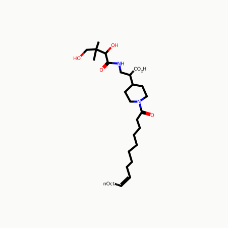 CCCCCCCC/C=C\CCCCCCCC(=O)N1CCC(C(CNC(=O)C(O)C(C)(C)CO)C(=O)O)CC1